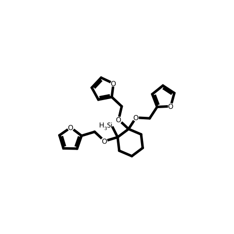 [SiH3]C1(OCc2ccco2)CCCCC1(OCc1ccco1)OCc1ccco1